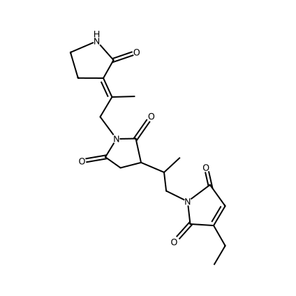 CCC1=CC(=O)N(CC(C)C2CC(=O)N(C/C(C)=C3\CCNC3=O)C2=O)C1=O